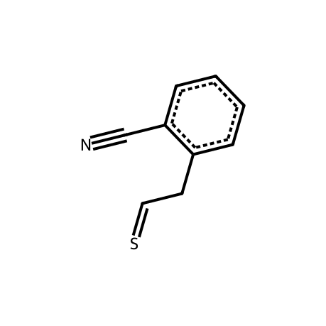 N#Cc1ccccc1CC=S